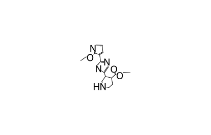 CCOC(=O)C1CCNCC1c1cnc(-c2cccnc2OCC)cn1